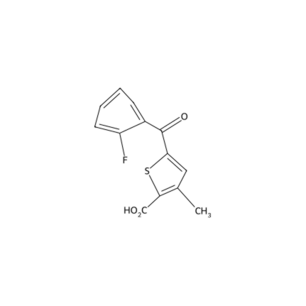 Cc1cc(C(=O)c2ccccc2F)sc1C(=O)O